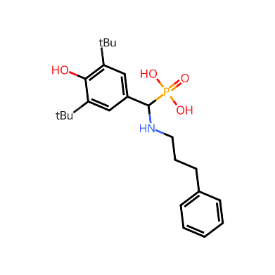 CC(C)(C)c1cc(C(NCCCc2ccccc2)P(=O)(O)O)cc(C(C)(C)C)c1O